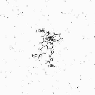 CC(C)(C)C(=O)OCOc1ccc2c(c1)[C@@]13CCCC[C@H]1[C@@H](C2)NCC3.CCCCCCCCCCCCCCCCCC(=O)O